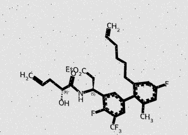 C=CCCCCc1cc(F)cc(C)c1-c1cc([C@H](CC(=O)OCC)NC(=O)[C@H](O)CC=C)c(F)c(C(F)(F)F)c1